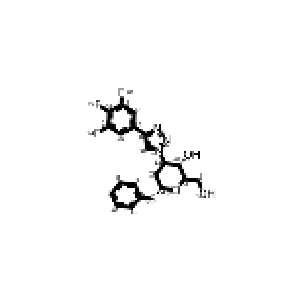 OCC1O[C@H](Sc2ccccc2)CC(n2cc(-c3cc(F)c(F)c(F)c3)nn2)[C@@H]1O